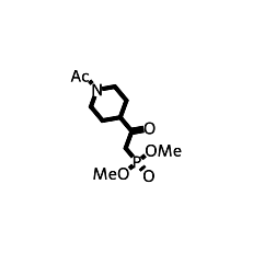 COP(=O)(CC(=O)C1CCN(C(C)=O)CC1)OC